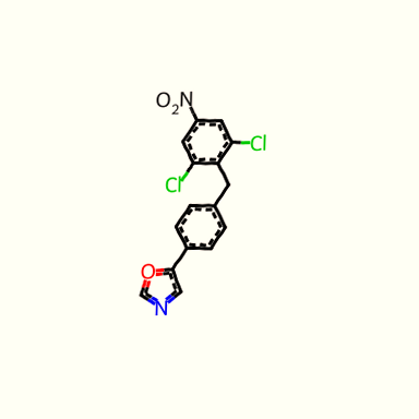 O=[N+]([O-])c1cc(Cl)c(Cc2ccc(-c3cnco3)cc2)c(Cl)c1